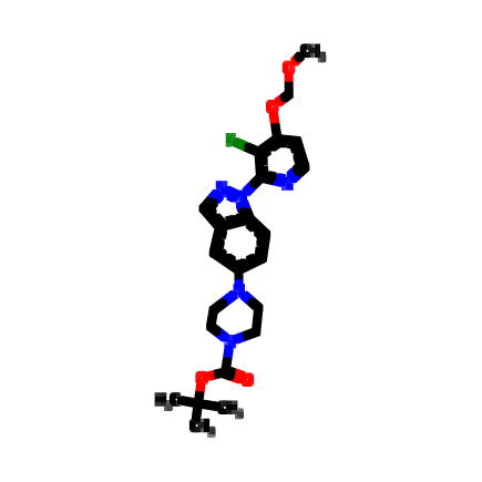 COCOc1ccnc(-n2ncc3cc(N4CCN(C(=O)OC(C)(C)C)CC4)ccc32)c1F